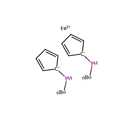 CCCCP[c-]1cccc1.CCCCP[c-]1cccc1.[Fe+2]